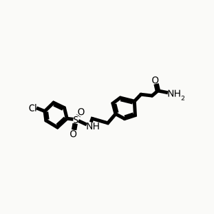 NC(=O)CCc1ccc(CCNS(=O)(=O)c2ccc(Cl)cc2)cc1